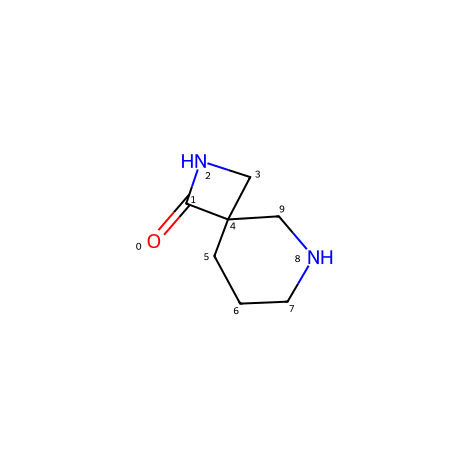 O=C1NCC12CCCNC2